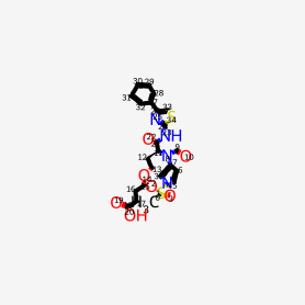 CS(=O)(=O)n1ccc(N(C=O)[C@@H](CCOCCCC(=O)O)C(=O)Nc2nc(-c3ccccc3)cs2)c1